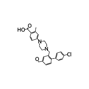 Cc1cc(N2CCN(Cc3cc(C=O)ccc3-c3ccc(Cl)cc3)CC2)ccc1C(=O)O